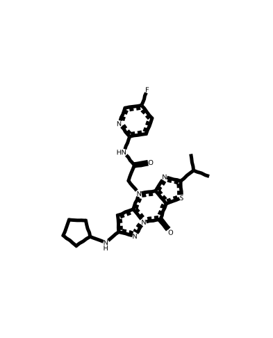 CC(C)c1nc2c(s1)c(=O)n1nc(NC3CCCC3)cc1n2CC(=O)Nc1ccc(F)cn1